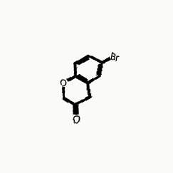 O=C1COc2ccc(Br)cc2C1